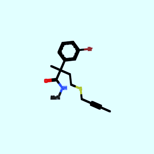 CC#CCSCCC(C)(C(=O)NNC)c1cccc(Br)c1